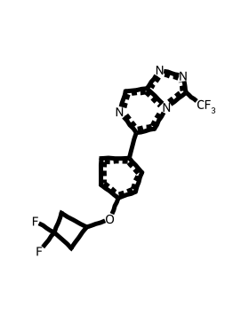 FC1(F)CC(Oc2ccc(-c3cn4c(C(F)(F)F)nnc4cn3)cc2)C1